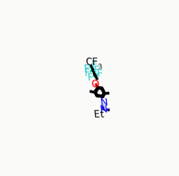 CCN(C)/C=N/c1cc(C)c(OCC(F)(F)C(F)(F)C(F)(F)C(F)(F)F)cc1C